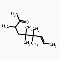 C/C=C/C(C)(C)C(C)(C)CC(C)C(N)=O